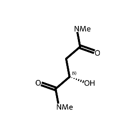 CNC(=O)C[C@H](O)C(=O)NC